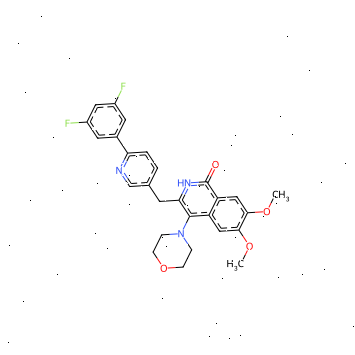 COc1cc2c(N3CCOCC3)c(Cc3ccc(-c4cc(F)cc(F)c4)nc3)[nH]c(=O)c2cc1OC